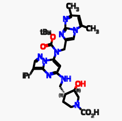 Cc1cc(C)n2cc(CN(C(=O)OC(C)(C)C)c3cc(NC[C@H]4CCN(C(=O)O)C[C@@H]4O)nc4c(C(C)C)cnn34)nc2n1